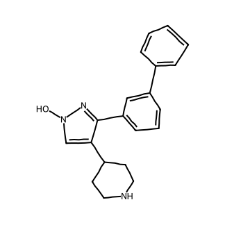 On1cc(C2CCNCC2)c(-c2cccc(-c3ccccc3)c2)n1